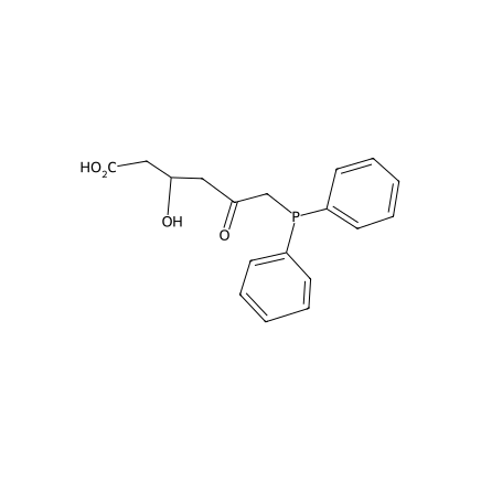 O=C(O)CC(O)CC(=O)CP(c1ccccc1)c1ccccc1